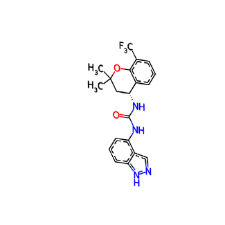 CC1(C)C[C@@H](NC(=O)Nc2cccc3[nH]ncc23)c2cccc(C(F)(F)F)c2O1